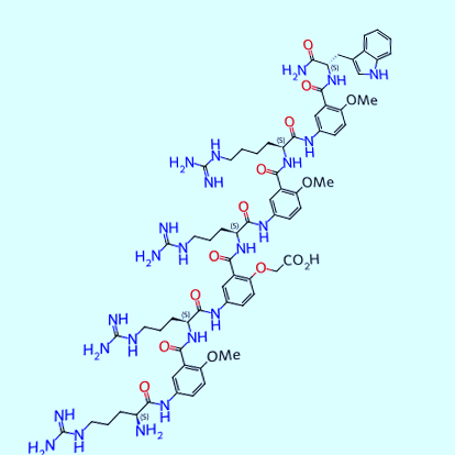 COc1ccc(NC(=O)[C@H](CCCCNC(=N)N)NC(=O)c2cc(NC(=O)[C@H](CCCNC(=N)N)NC(=O)c3cc(NC(=O)[C@H](CCCNC(=N)N)NC(=O)c4cc(NC(=O)[C@@H](N)CCCNC(=N)N)ccc4OC)ccc3OCC(=O)O)ccc2OC)cc1C(=O)N[C@@H](Cc1c[nH]c2ccccc12)C(N)=O